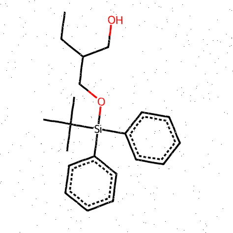 CCC(CO)CO[Si](c1ccccc1)(c1ccccc1)C(C)(C)C